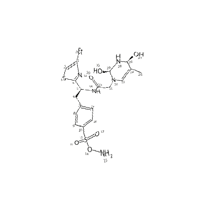 CCc1csc([C@H](Cc2ccc(S(=O)(=O)ON)cc2)NC(=O)CN2C=C(C)[C@H](O)N[C@@H]2O)n1